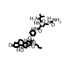 CCCC1O[C@@H]2C[C@H]3[C@@H]4CCC5=CC(=O)C=C[C@]5(C)[C@H]4[C@@H](O)C[C@]3(C)[C@]2(C(=O)COc2ccc(NC(=O)[C@H](CCCNC(N)=O)NC(=O)[C@@H](N)C(C)C)cc2)O1